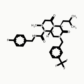 CC(C)C[C@H]1C(=O)N(Cc2cccc(C(F)(F)F)c2)C[C@H]2N1C(=O)CN(C)N2C(=O)NCc1ccc(F)cc1